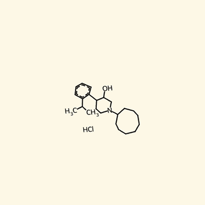 CC(C)c1ccccc1C1CCN(C2CCCCCCCC2)CC1O.Cl